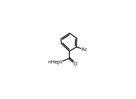 CCCCCCCC(=O)c1ccccc1C(C)=O